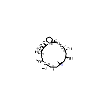 CO[C@@H]1C[C@@H](OC)C[C@@H](C)C/C(C)=C/CC(=N)C[C@H](O)[C@@H](C)COC(=O)[C@@H]2CCCCN2C(=O)C(=O)C(O)(O)[C@H](C)C1